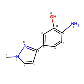 Cn1ccc(-c2ccc(N)c(O)c2)n1